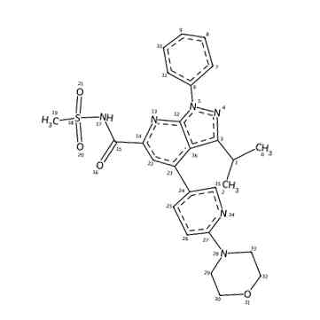 CC(C)c1nn(-c2ccccc2)c2nc(C(=O)NS(C)(=O)=O)cc(-c3ccc(N4CCOCC4)nc3)c12